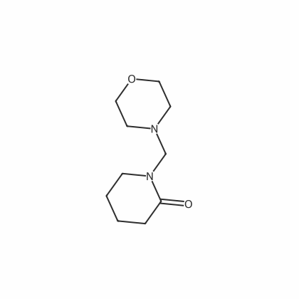 O=C1CCCCN1CN1CCOCC1